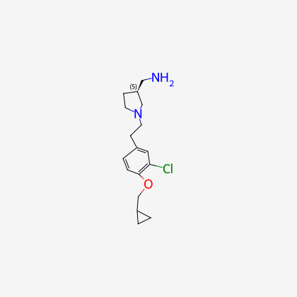 NC[C@@H]1CCN(CCc2ccc(OCC3CC3)c(Cl)c2)C1